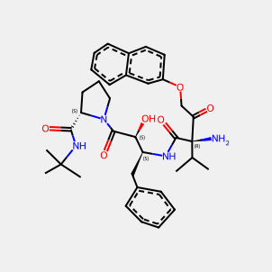 CC(C)[C@@](N)(C(=O)COc1ccc2ccccc2c1)C(=O)N[C@@H](Cc1ccccc1)[C@H](O)C(=O)N1CCC[C@H]1C(=O)NC(C)(C)C